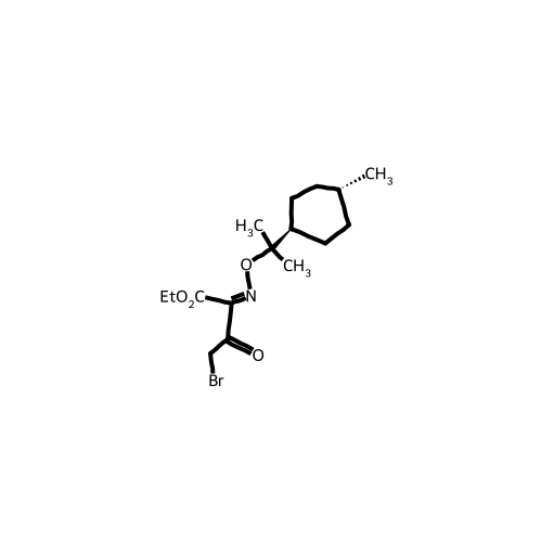 CCOC(=O)/C(=N\OC(C)(C)[C@H]1CC[C@H](C)CC1)C(=O)CBr